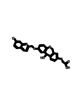 O=C(O)CSc1ccc2c(c1)COc1ccc(OCc3ccc4ccc(Cl)cc4n3)cc1C2O